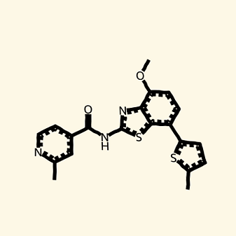 COc1ccc(-c2ccc(C)s2)c2sc(NC(=O)c3ccnc(C)c3)nc12